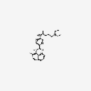 CCN(CC)CCCC(C)Nc1cnc(C(=O)Nc2c(C)ccc3cccnc23)cn1